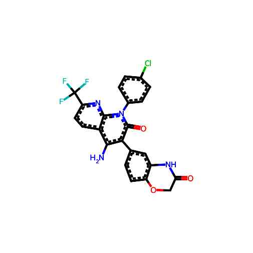 Nc1c(-c2ccc3c(c2)NC(=O)CO3)c(=O)n(-c2ccc(Cl)cc2)c2nc(C(F)(F)F)ccc12